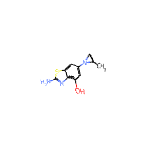 CC1CN1c1cc(O)c2nc(N)sc2c1